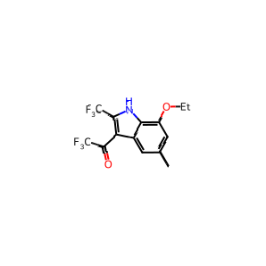 CCOc1cc(C)cc2c(C(=O)C(F)(F)F)c(C(F)(F)F)[nH]c12